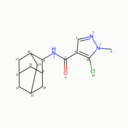 Cn1ncc(C(=O)NC2C3CC4CC(C3)CC2C4)c1Cl